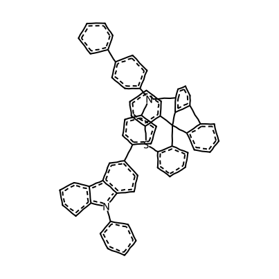 c1ccc(-c2ccc(N(c3ccc(-c4ccc5c(c4)c4ccccc4n5-c4ccccc4)cc3)c3cccc4c3C3(c5ccccc5Sc5ccccc53)c3ccccc3-4)cc2)cc1